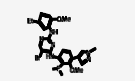 CCc1ccc(OC)c(Nc2ncc(Br)c(Nc3ccc(-c4cnn(C)c4)c(OC)c3P(C)C)n2)c1